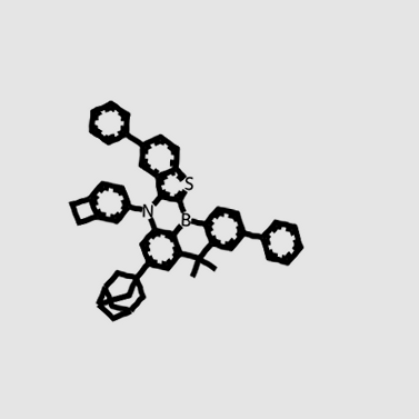 CC1(C)c2cc(-c3ccccc3)ccc2B2c3sc4ccc(-c5ccccc5)cc4c3N(c3ccc4c(c3)CC4)c3cc(C45CC6CC(C4)C(C6)C5)cc1c32